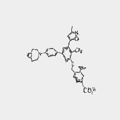 Cc1cc(-c2cc(-c3ccc(N4CCOCC4)cc3)nc(OCc3ccc(C(=O)O)cc3Br)c2C#N)on1